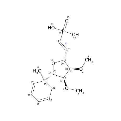 CO[C@@H]1[C@H](OC)[C@@H](/C=C/P(=O)(O)O)O[C@H]1C1(C)C=CC=CC1